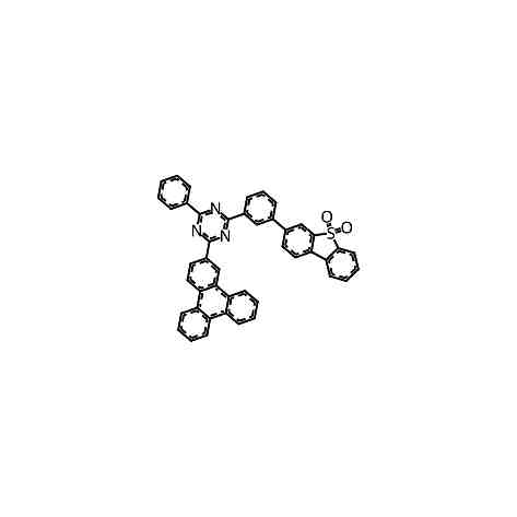 O=S1(=O)c2ccccc2-c2ccc(-c3cccc(-c4nc(-c5ccccc5)nc(-c5ccc6c7ccccc7c7ccccc7c6c5)n4)c3)cc21